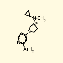 CN(C1CC1)[C@H]1CCN(c2ccnc([AsH2])c2)C1